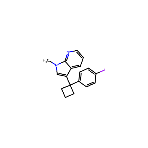 Cn1cc(C2(c3ccc(I)cc3)CCC2)c2cccnc21